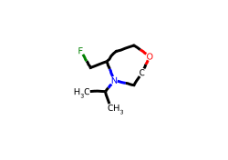 CC(C)N1CCOCCC1CF